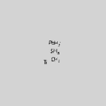 C.[PbH2].[SiH4].[Ti]